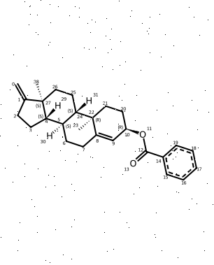 C=C1CC[C@H]2[C@@H]3CCC4=C[C@H](OC(=O)c5ccccc5)CC[C@]4(C)[C@H]3CC[C@]12C